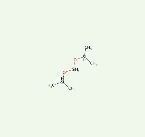 C[SiH](C)O[SiH2]O[SiH](C)C